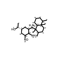 CC(O)[C@@H]1CC(CC2(C)C(C)CCC3(C)C(C)CCC[C@@]32N)C(N)C(N=O)C1